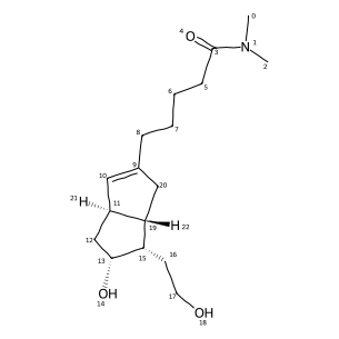 CN(C)C(=O)CCCCC1=C[C@@H]2C[C@@H](O)[C@@H](CCO)[C@H]2C1